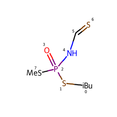 CCC(C)SP(=O)(NC=S)SC